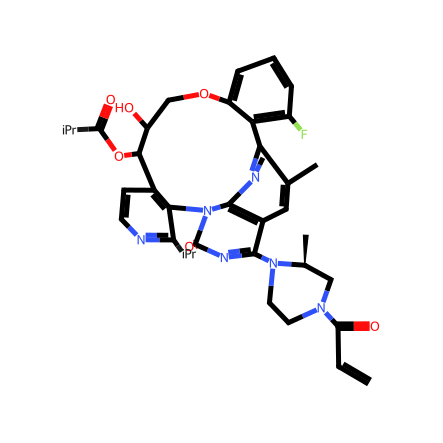 C=CC(=O)N1CCN(c2nc(=O)n3c4nc(c(C)cc24)-c2c(F)cccc2OCC(O)C(OC(=O)C(C)C)c2ccnc(C(C)C)c2-3)[C@@H](C)C1